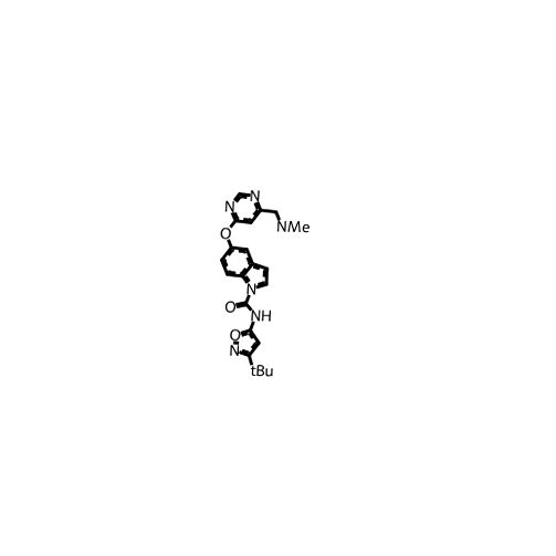 CNCc1cc(Oc2ccc3c(ccn3C(=O)Nc3cc(C(C)(C)C)no3)c2)ncn1